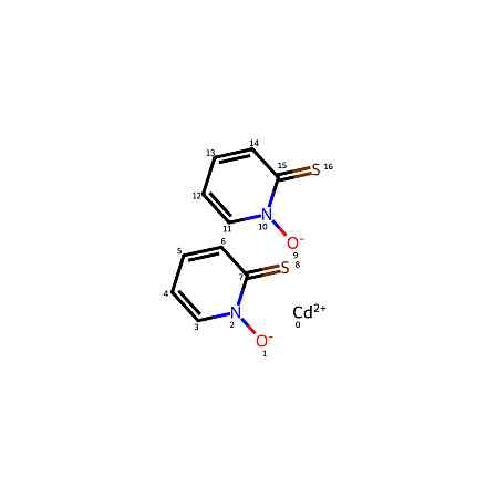 [Cd+2].[O-]n1ccccc1=S.[O-]n1ccccc1=S